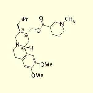 COc1cc2c(cc1OC)[C@H]1C[C@@H](COC(=O)C3CCCN(C)C3)[C@H](CC(C)C)CN1CC2